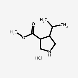 COC(=O)C1CNCC1C(C)C.Cl